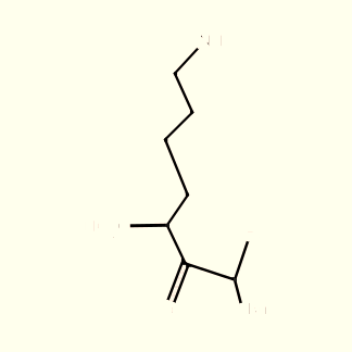 CCCCC(CC)C(=O)C(CCCCN)C(=O)O